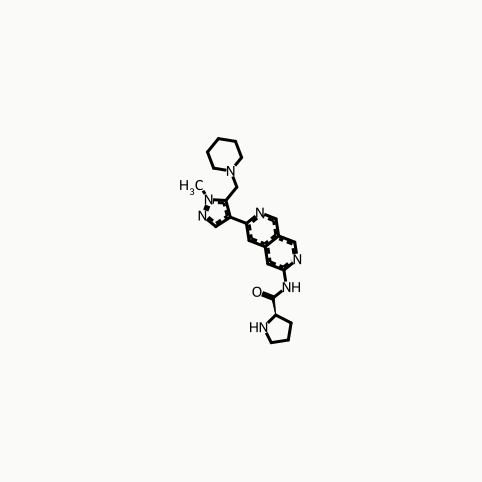 Cn1ncc(-c2cc3cc(NC(=O)[C@H]4CCCN4)ncc3cn2)c1CN1CCCCC1